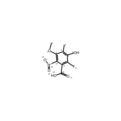 COc1c(C)c(O)c(F)c(C(=O)O)c1[N+](=O)[O-]